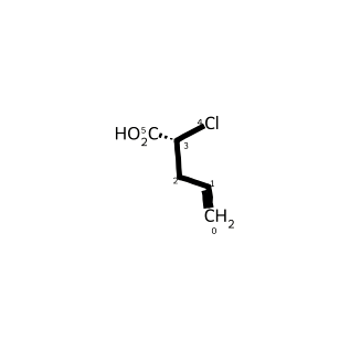 C=CC[C@@H](Cl)C(=O)O